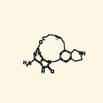 Nc1nc2nc3c1[nH]c(=O)n3Cc1cc(c3c(c1)CCNC3)C/C=C\CCO2